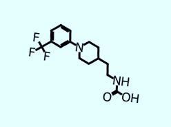 O=C(O)NCCC1CCN(c2cccc(C(F)(F)F)c2)CC1